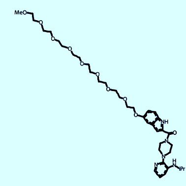 COCCOCCOCCOCCOCCOCCOCCOCCOc1ccc2[nH]c(C(=O)N3CCN(c4ncccc4NC(C)C)CC3)cc2c1